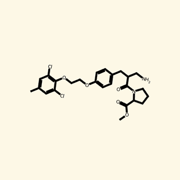 COC(=O)C1CCCN1C(=O)C(CN)Cc1ccc(OCCOc2c(Cl)cc(C)cc2Cl)cc1